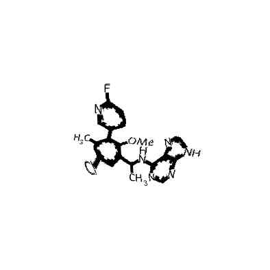 COc1c(C(C)Nc2ncnc3[nH]cnc23)cc(Cl)c(C)c1-c1ccc(F)nc1